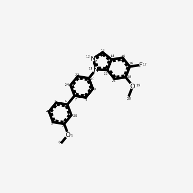 COc1cccc(-c2ccc(-n3ncc4cc(F)c(OC)cc43)cc2)c1